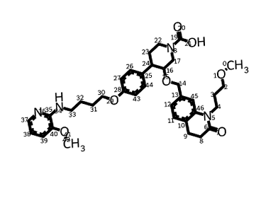 COCCCN1C(=O)CCc2ccc(COC3CN(C(=O)O)CCC3c3ccc(OCCCCNc4ncccc4OC)cc3)cc21